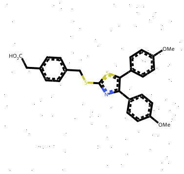 COc1ccc(-c2nc(SCc3ccc(CC(=O)O)cc3)sc2-c2ccc(OC)cc2)cc1